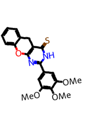 COc1cc(-c2nc3c(c(=S)[nH]2)Cc2ccccc2O3)cc(OC)c1OC